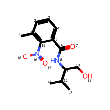 Cc1cccc(C(=O)NC(CO)C(C)C)c1[N+](=O)[O-]